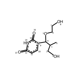 CC(CO)C(OCCO)n1ccc(=O)[nH]c1=O